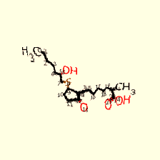 CCCCCC(O)CSC1CCC(=O)C1CCCCCC(C)C(=O)O